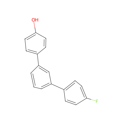 Oc1ccc(-c2cccc(-c3ccc(F)cc3)c2)cc1